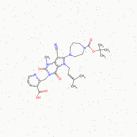 CC(C)=CCn1c(N2CCCN(C(=O)OC(C)(C)C)CC2)c(C#N)c2c1c(=O)n(Cc1ncccc1C(=O)O)c(=O)n2C